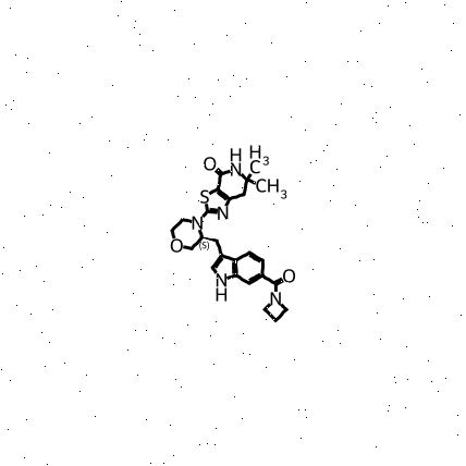 CC1(C)Cc2nc(N3CCOC[C@@H]3Cc3c[nH]c4cc(C(=O)N5CCC5)ccc34)sc2C(=O)N1